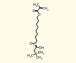 C=C(C)C(=O)OCCCCCCCC/[P+]([O-])=C(\O)C[N+](C)(C)C